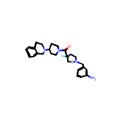 Nc1cccc(CN2CCC(F)(C(=O)N3CCC(N4CCc5ccccc5C4)CC3)CC2)c1